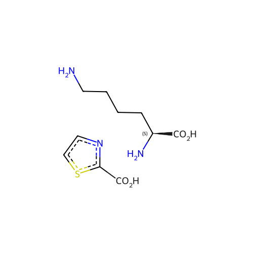 NCCCC[C@H](N)C(=O)O.O=C(O)c1nccs1